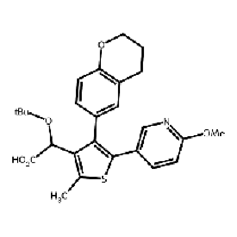 COc1ccc(-c2sc(C)c(C(OC(C)(C)C)C(=O)O)c2-c2ccc3c(c2)CCCO3)cn1